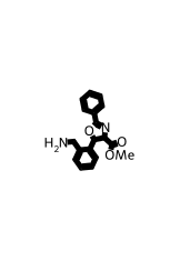 COC(=O)C1N=C(c2ccccc2)OC1c1ccccc1CN